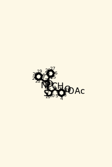 CC(=O)OOc1cccc(C(C)C2CCSC2c2nc(-c3ccccc3)c(-c3ccccc3)o2)c1